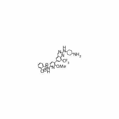 COc1nc(NS(=O)(=O)c2ccccc2Cl)ccc1-c1cc(C(F)(F)F)c2nc(NC3CCC(N)CC3)ncc2c1